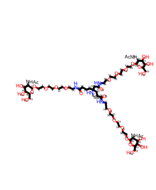 CC(=O)NC1C(OCCOCCOCCOCCNC(=O)CCCC(CCC(=O)NCCOCCOCCOCCOC2OC(CO)C(O)C(O)C2NC(C)=O)(CC(=O)NCCOCCOCCOCCOC2OC(CO)C(O)C(O)C2NC(C)=O)NC(C)(C)C)OC(CO)C(O)C1O